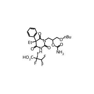 CCCCOCC(CN1C(=O)NC(=O)C(CC)(c2ccccc2)C1=O)OC(N)=O.O=C(O)C(F)(F)C(F)F